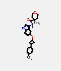 CC1(C(=O)Nc2c[nH]c3ccc(OC4CC(c5ccc(C(F)(F)F)cc5)C4)cc23)CCOCC1